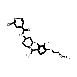 COCCOc1ccc(C(C)N2CCC(NC(=O)c3ccnc(Cl)c3)CC2)c(C)c1C